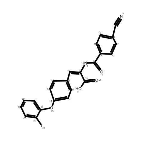 N#Cc1ccc(C(=O)NC(=Cc2ccc(Oc3ccccc3I)cc2)C(=O)O)cc1